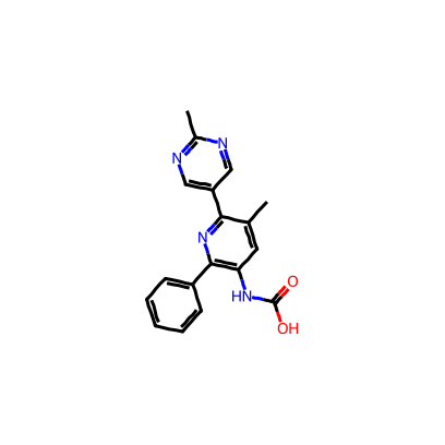 Cc1ncc(-c2nc(-c3ccccc3)c(NC(=O)O)cc2C)cn1